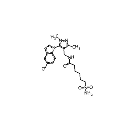 Cc1nn(C)c(-n2ccc3cc(Cl)ccc32)c1CNC(=O)CCCCCS(N)(=O)=O